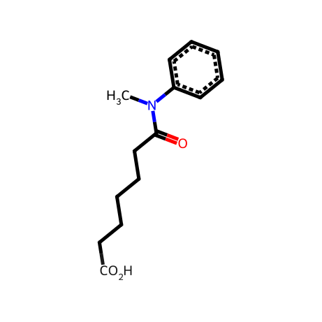 CN(C(=O)CCCCCC(=O)O)c1ccccc1